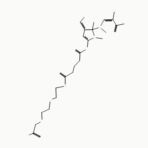 C=C(C)/C(N)=C\N(C)C1(C)/C(=C\CC)C=C(NC(=O)CCCC(=O)NCCOCCOCC(N)=O)N1C